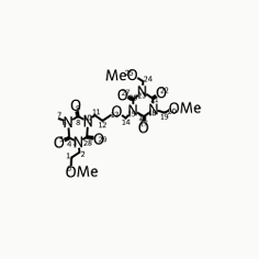 COCCn1c(=O)n(C)c(=O)n(CCOCn2c(=O)n(COC)c(=O)n(COC)c2=O)c1=O